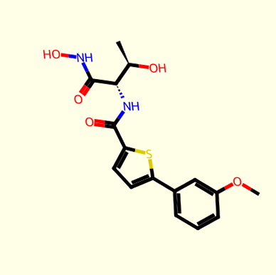 COc1cccc(-c2ccc(C(=O)N[C@H](C(=O)NO)[C@@H](C)O)s2)c1